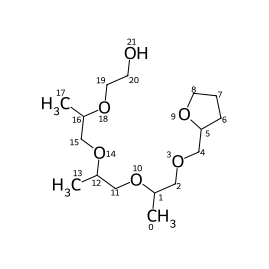 CC(COCC1CCCO1)OCC(C)OCC(C)OCCO